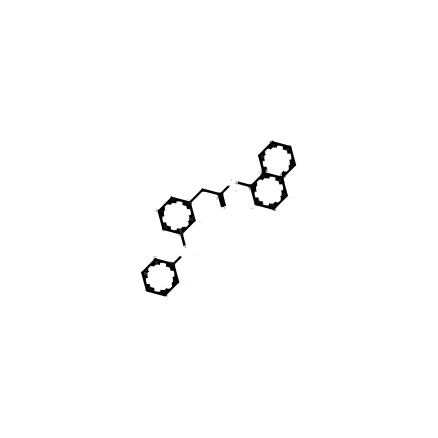 O=C(Cc1cccc(Oc2ccccc2)c1)Nc1cccc2ccccc12